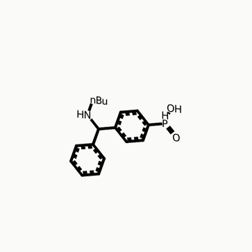 CCCCNC(c1ccccc1)c1ccc([PH](=O)O)cc1